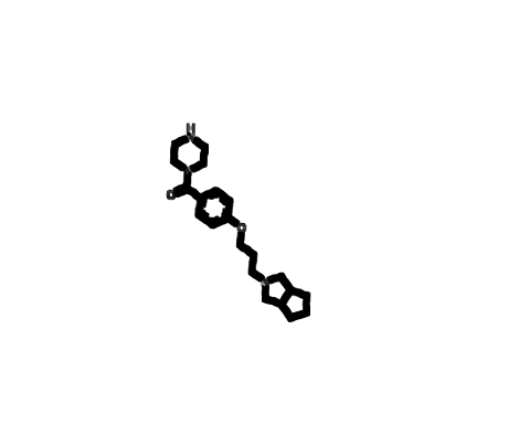 O=C(c1ccc(OCCCN2CC3CCCC3C2)cc1)N1CCNCC1